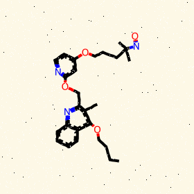 CCCCOc1c(C)c(COc2cc(OCCCC(C)(C)N=O)ccn2)nc2ccccc12